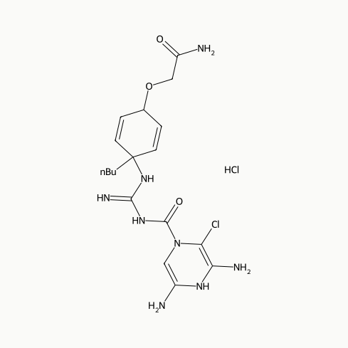 CCCCC1(NC(=N)NC(=O)N2C=C(N)NC(N)=C2Cl)C=CC(OCC(N)=O)C=C1.Cl